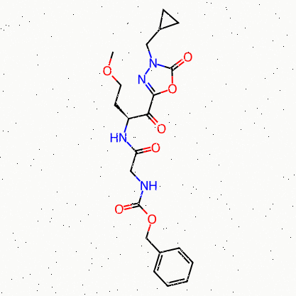 COCC[C@H](NC(=O)CNC(=O)OCc1ccccc1)C(=O)c1nn(CC2CC2)c(=O)o1